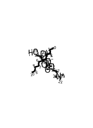 CCCCCC(CCCCC)(OP(=O)([O-])OCC[N+](C)(C)C)[C@@H](O)CO